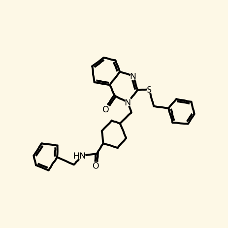 O=C(NCc1ccccc1)C1CCC(Cn2c(SCc3ccccc3)nc3ccccc3c2=O)CC1